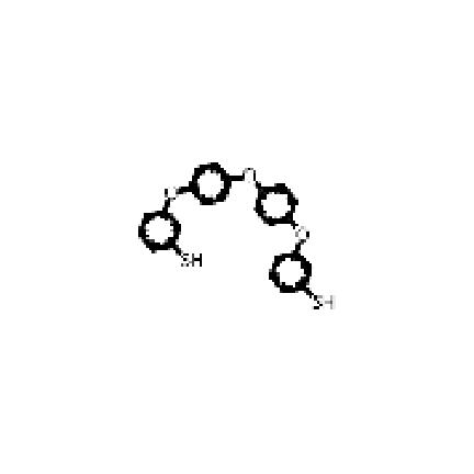 Sc1cccc(Oc2ccc(Oc3ccc(Oc4cccc(S)c4)cc3)cc2)c1